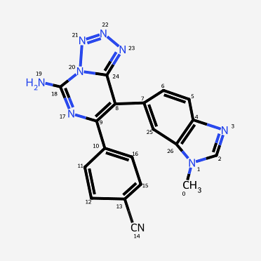 Cn1cnc2ccc(-c3c(-c4ccc(C#N)cc4)nc(N)n4nnnc34)cc21